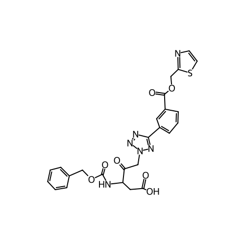 O=C(O)CC(NC(=O)OCc1ccccc1)C(=O)Cn1nnc(-c2cccc(C(=O)OCc3nccs3)c2)n1